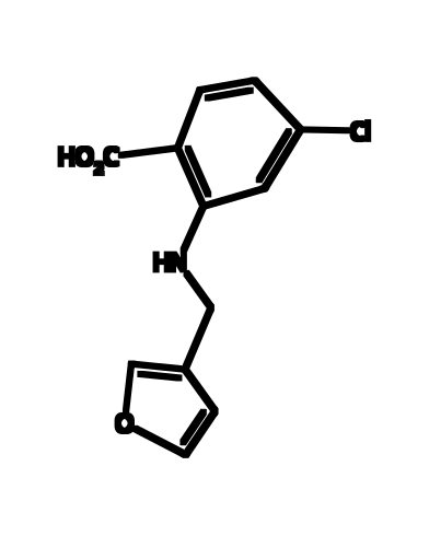 O=C(O)c1ccc(Cl)cc1NCc1ccoc1